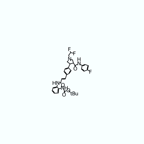 CC(C)(C)OC(=O)Nc1ccccc1NC(=O)/C=C/c1ccc(C2CN(CC(F)F)CC2C(=O)Nc2ccc(F)cc2)cc1